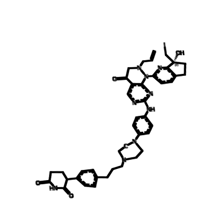 C=CCN1CC(=O)c2cnc(Nc3ccc(N4CCN(CCCc5ccc(C6CCC(=O)NC6=O)cc5)CC4)cc3)nc2N1c1ccc2c(n1)[C@@](O)(CI)CC2